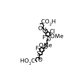 COc1c(Cl)c2c(c(F)c1OCCCOc1cc3cc(C(=O)CC(C)C(=O)O)sc3c(F)c1OC)CN(C(=O)CC(C)C(=O)O)C2